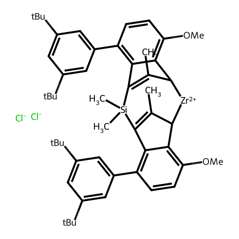 COc1ccc(-c2cc(C(C)(C)C)cc(C(C)(C)C)c2)c2c1[CH]1[Zr+2][CH]3C(C)=C(c4c(-c5cc(C(C)(C)C)cc(C(C)(C)C)c5)ccc(OC)c43)[Si](C)(C)C2=C1C.[Cl-].[Cl-]